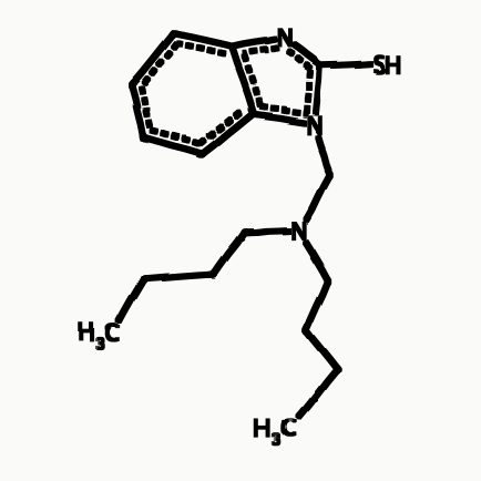 CCCCN(CCCC)Cn1c(S)nc2ccccc21